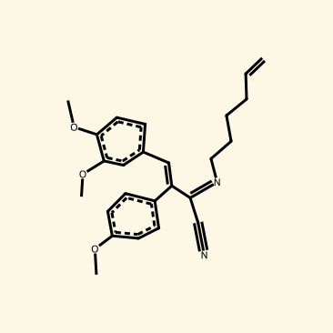 C=CCCCC/N=C(C#N)\C(=C\c1ccc(OC)c(OC)c1)c1ccc(OC)cc1